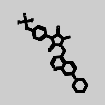 CC1C(=O)N(c2ccc(OC(F)(F)F)cc2)C(=O)N1Cc1ccnc2cc(N3CCCCC3)ccc12